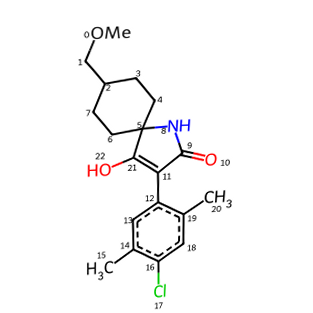 COCC1CCC2(CC1)NC(=O)C(c1cc(C)c(Cl)cc1C)=C2O